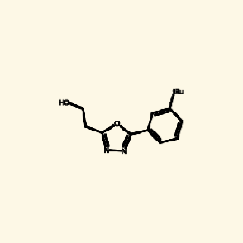 CC(C)(C)c1cccc(-c2nnc(CCO)o2)c1